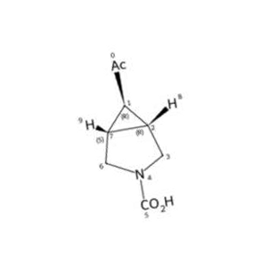 CC(=O)[C@H]1[C@@H]2CN(C(=O)O)C[C@@H]21